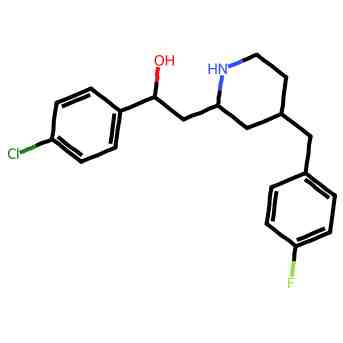 OC(CC1CC(Cc2ccc(F)cc2)CCN1)c1ccc(Cl)cc1